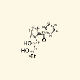 CCC(O)CC(O)Cc1ccccc1C(=O)c1ccccc1